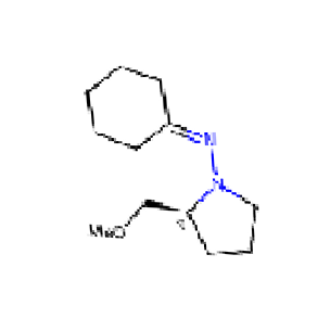 COC[C@@H]1CCCN1N=C1CCCCC1